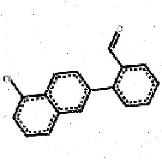 O=Cc1ccccc1-c1ccc2c(Cl)cccc2c1